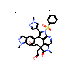 CN1C(=O)C(CC=O)(CC=O)c2c1cnc1c2c(-c2ccc3c(cnn3C)c2)c(-c2cnn(C)c2)n1S(=O)(=O)c1ccccc1